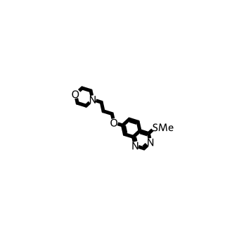 CSc1ncnc2cc(OCCCN3CCOCC3)ccc12